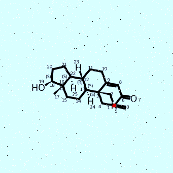 C=NC[C@]12CCC(=O)C=C1CC[C@@H]1[C@@H]2CC[C@]2(C)[C@@H](O)CC[C@@H]12